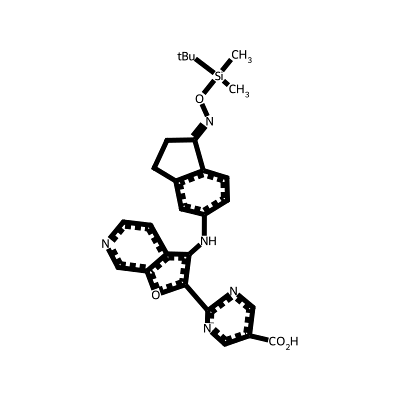 CC(C)(C)[Si](C)(C)ON=C1CCc2cc(Nc3c(-c4ncc(C(=O)O)cn4)oc4cnccc34)ccc21